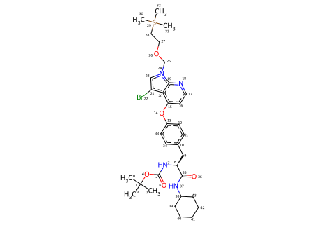 CC(C)(C)OC(=O)N[C@@H](Cc1ccc(Oc2ccnc3c2c(Br)cn3COCCS(C)(C)C)cc1)C(=O)NC1CCCCC1